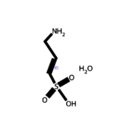 NC/C=C/S(=O)(=O)O.O